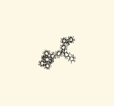 c1ccc(-c2ccc(N(c3ccc(-c4ccc5c(c4)-c4ccccc4C54c5ccccc5C(c5ccccc5)(c5ccccc5)c5ccccc54)cc3)c3ccc(-c4cccc5c4sc4ccccc45)cc3)cc2)cc1